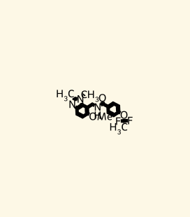 COc1ccc2nc(C)n(C)c2c1CNC(=O)c1ccc(OC(C)(F)F)cc1